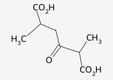 CC(CC(=O)C(C)C(=O)O)C(=O)O